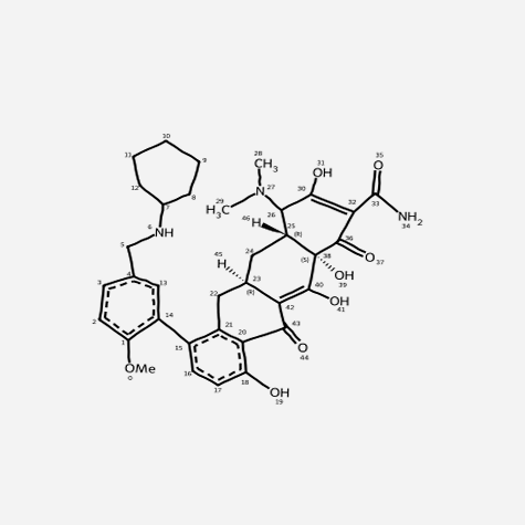 COc1ccc(CNC2CCCCC2)cc1-c1ccc(O)c2c1C[C@H]1C[C@@H]3C(N(C)C)C(O)=C(C(N)=O)C(=O)[C@@]3(O)C(O)=C1C2=O